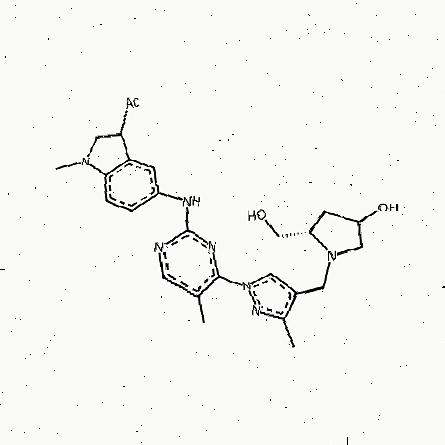 CC(=O)C1CN(C)c2ccc(Nc3ncc(C)c(-n4cc(CN5CC(O)C[C@H]5CO)c(C)n4)n3)cc21